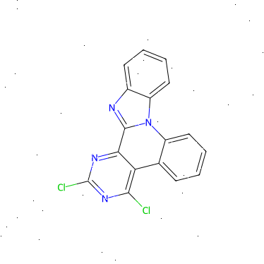 Clc1nc(Cl)c2c3ccccc3n3c4ccccc4nc3c2n1